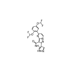 NC(=O)c1c(-c2cn[nH]c2)nn2ccc(-c3cc(OC(F)F)ccc3OC(F)F)nc12